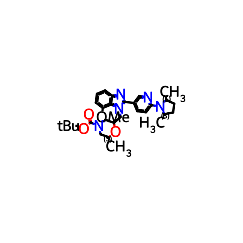 COc1cccc2nc(-c3ccc(N4[C@@H](C)CC[C@@H]4C)nc3)n(CC3CN(C(=O)OC(C)(C)C)C[C@H](C)O3)c12